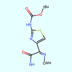 CON=C(C([NH])=O)c1csc(NC(=O)OC(C)(C)C)n1